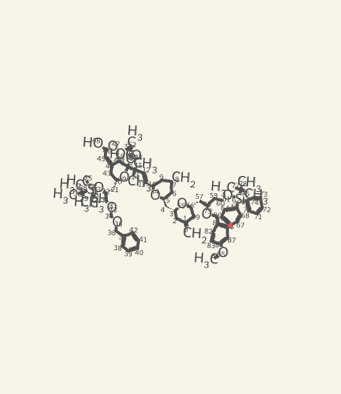 C=C1C[C@H](C[C@@H]2CC(=C)C[C@H](/C=C/C(C)(C)[C@]3(OC)O[C@H](C[C@@H](O[Si](C)(C)C(C)(C)C)[C@@H](C)OCOCc4ccccc4)CC(=CC(=O)O)[C@@H]3OC(C)=O)O2)O[C@H](CC(CCO[Si](c2ccccc2)(c2ccccc2)C(C)(C)C)OCc2ccc(OC)cc2)C1